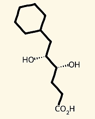 O=C(O)CC[C@@H](O)[C@H](O)CC1CCCCC1